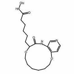 O=C(CCCCCC1OCCCCCCOc2ccncc2NC1=O)NO